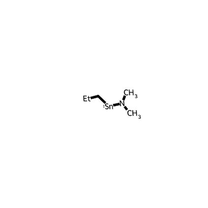 CC[CH2][Sn][N](C)C